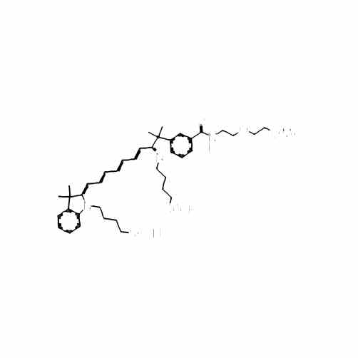 COCCOCCNC(=O)c1ccc2c(c1)C(C)(C)C(/C=C/C=C/C=C/C=C1\N(CCCCS(=O)(=O)O)c3ccccc3C1(C)C)=[N+]2CCCCS(=O)(=O)O